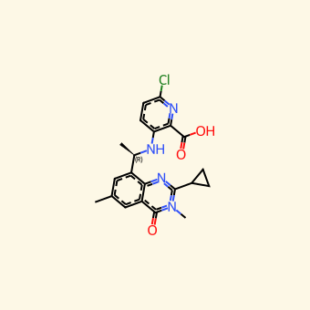 Cc1cc([C@@H](C)Nc2ccc(Cl)nc2C(=O)O)c2nc(C3CC3)n(C)c(=O)c2c1